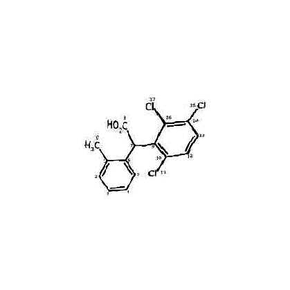 Cc1ccccc1C(C(=O)O)c1c(Cl)ccc(Cl)c1Cl